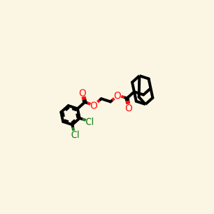 O=C(OCCOC(=O)C12CC3CC(CC(C3)C1)C2)c1cccc(Cl)c1Cl